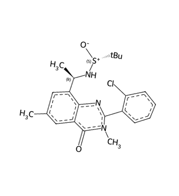 Cc1cc([C@@H](C)N[S@+]([O-])C(C)(C)C)c2nc(-c3ccccc3Cl)n(C)c(=O)c2c1